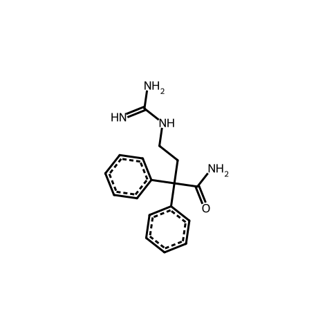 N=C(N)NCCC(C(N)=O)(c1ccccc1)c1ccccc1